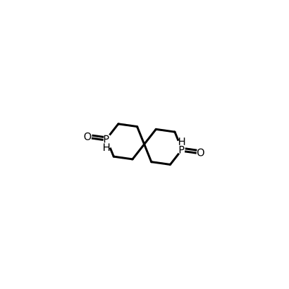 O=[PH]1CCC2(CC1)CC[PH](=O)CC2